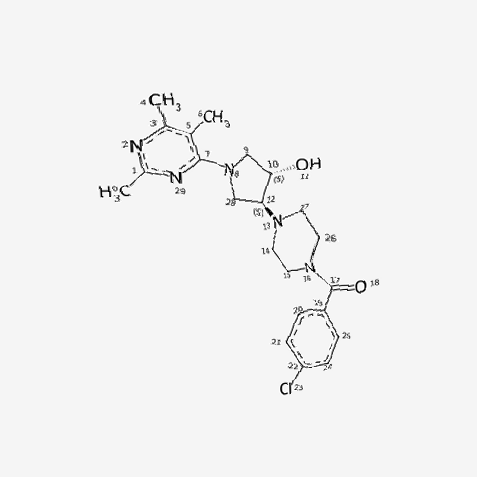 Cc1nc(C)c(C)c(N2C[C@H](O)[C@@H](N3CCN(C(=O)c4ccc(Cl)cc4)CC3)C2)n1